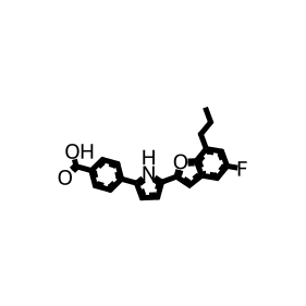 CCCc1cc(F)cc2cc(-c3ccc(-c4ccc(C(=O)O)cc4)[nH]3)oc12